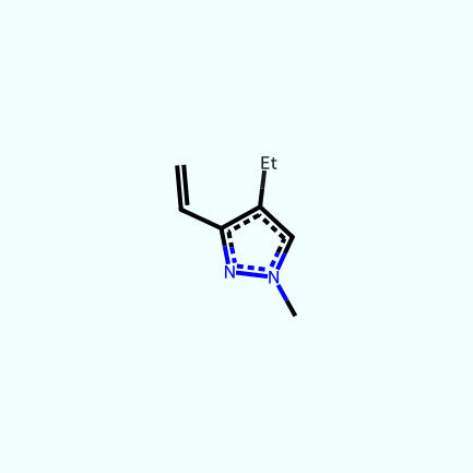 C=Cc1nn(C)cc1CC